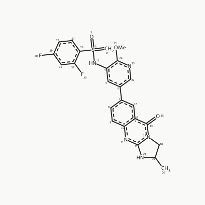 C=S(=O)(Nc1cc(-c2ccc3nc4n(c(=O)c3c2)CC(C)N4)cnc1OC)c1ccc(F)cc1F